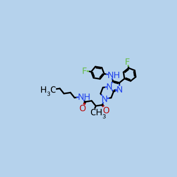 CCCCCNC(=O)CC(C)C(=O)N1CCn2c(nc(-c3cccc(F)c3)c2Nc2ccc(F)cc2)C1